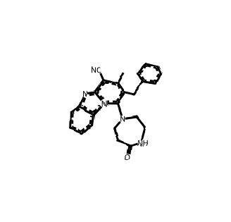 Cc1c(Cc2ccccc2)c(N2CCNC(=O)CC2)n2c(nc3ccccc32)c1C#N